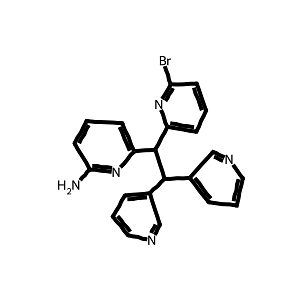 Nc1cccc(C(c2cccc(Br)n2)C(c2cccnc2)c2cccnc2)n1